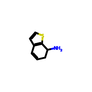 NC1CC=Cc2ccsc21